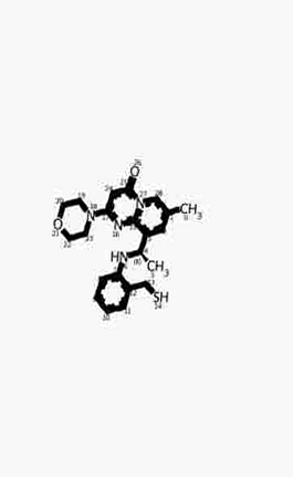 Cc1cc([C@@H](C)Nc2ccccc2CS)c2nc(N3CCOCC3)cc(=O)n2c1